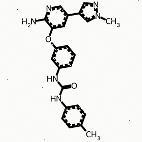 Cc1ccc(NC(=O)Nc2cccc(Oc3cc(-c4cnn(C)c4)cnc3N)c2)cc1